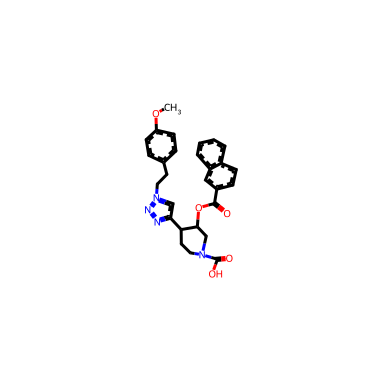 COc1ccc(CCn2cc(C3CCN(C(=O)O)CC3OC(=O)c3ccc4ccccc4c3)nn2)cc1